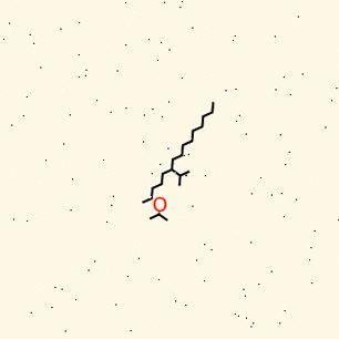 CCCCCCCCCC(CCCC(C)OC(C)C)[C](C)C